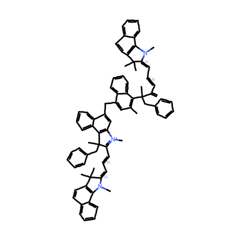 C=C(/C=C/C=C1/N(C)c2c(ccc3ccccc23)C1(C)C)C(C)(Cc1ccccc1)c1c(C)cc(Cc2cc3c(c4ccccc24)C(C)(Cc2ccccc2)C(/C=C/C=C2/N(C)c4c(ccc5ccccc45)C2(C)C)=[N+]3C)c2ccccc12